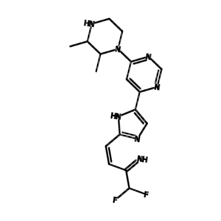 CC1NCCN(c2cc(-c3cnc(/C=C\C(=N)C(F)F)[nH]3)ncn2)C1C